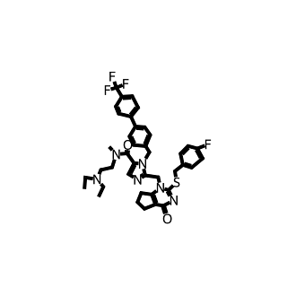 CCN(CC)CCN(C)C(=O)c1cnc(Cn2c(SCc3ccc(F)cc3)nc(=O)c3c2CCC3)n1Cc1ccc(-c2ccc(C(F)(F)F)cc2)cc1